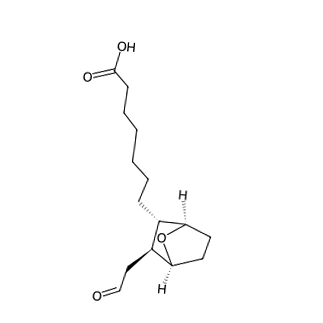 O=CC[C@H]1[C@H](CCCCCCC(=O)O)[C@H]2CC[C@@H]1O2